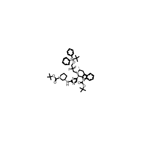 C[C@@H]1Cc2c(n(C(=O)OC(C)(C)C)c3ccccc23)[C@@H](c2cnc(N[C@H]3CCCN(C(=O)OC(C)(C)C)C3)s2)N1CC(F)(F)CO[Si](c1ccccc1)(c1ccccc1)C(C)(C)C